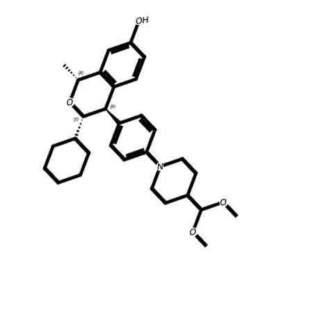 COC(OC)C1CCN(c2ccc([C@@H]3c4ccc(O)cc4[C@@H](C)O[C@H]3C3CCCCC3)cc2)CC1